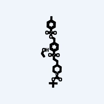 CCO.Cc1ccc(S(=O)(=O)OCc2ccc(S(=O)(=O)CCC3CCN(C(=O)OC(C)(C)C)CC3)cc2)cc1